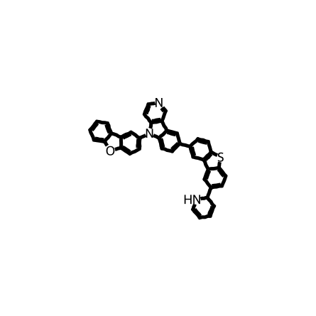 C1=CNC(c2ccc3sc4ccc(-c5ccc6c(c5)c5cnccc5n6-c5ccc6oc7ccccc7c6c5)cc4c3c2)C=C1